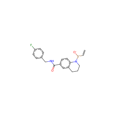 C=C[S+]([O-])N1CCCc2cc(C(=O)NCc3ccc(F)cc3)ccc21